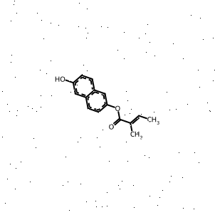 CC=C(C)C(=O)Oc1ccc2cc(O)ccc2c1